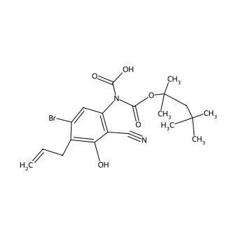 C=CCc1c(Br)cc(N(C(=O)O)C(=O)OC(C)(C)CC(C)(C)C)c(C#N)c1O